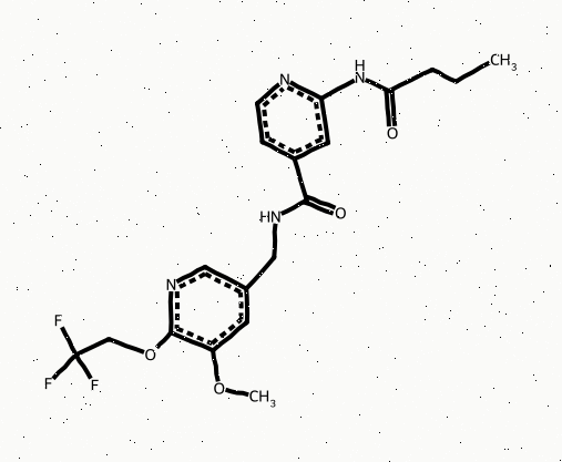 CCCC(=O)Nc1cc(C(=O)NCc2cnc(OCC(F)(F)F)c(OC)c2)ccn1